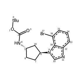 CC(C)(C)OC(=O)N[C@H]1CC[C@H](n2cnc3cccc(Br)c32)C1